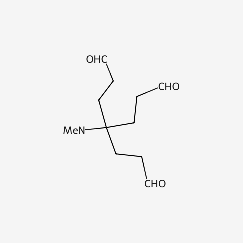 CNC(CCC=O)(CCC=O)CCC=O